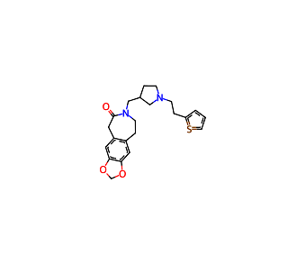 O=C1Cc2cc3c(cc2CCN1CC1CCN(CCc2cccs2)C1)OCO3